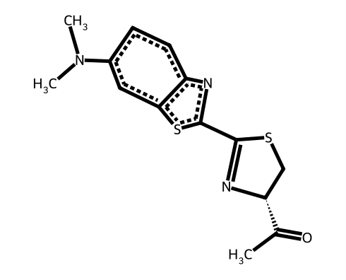 CC(=O)[C@H]1CSC(c2nc3ccc(N(C)C)cc3s2)=N1